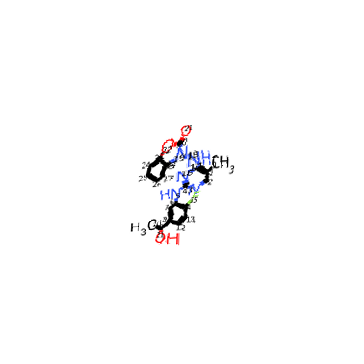 Cc1cnc(Nc2cc(C(C)O)ccc2F)nc1Nn1c(=O)oc2ccccc21